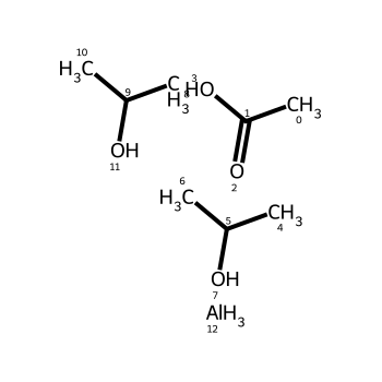 CC(=O)O.CC(C)O.CC(C)O.[AlH3]